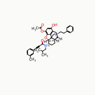 CC(=O)Oc1cc(O)c2c3c1O[C@H]1[C@@H](N(CC(C)C)C(=O)C#Cc4cccc(C)c4)CC[C@H]4[C@@H](C2)N(CCc2ccccc2)CC[C@@]341